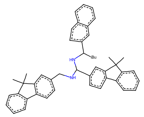 CCC(C)C(NC(NCc1ccc2c(c1)C(C)(C)c1ccccc1-2)c1ccc2c(c1)C(C)(C)c1ccccc1-2)c1ccc2ccccc2c1